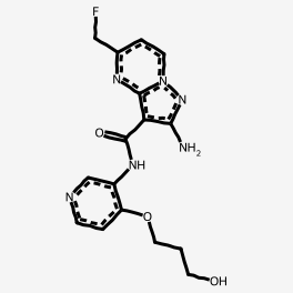 Nc1nn2ccc(CF)nc2c1C(=O)Nc1cnccc1OCCCO